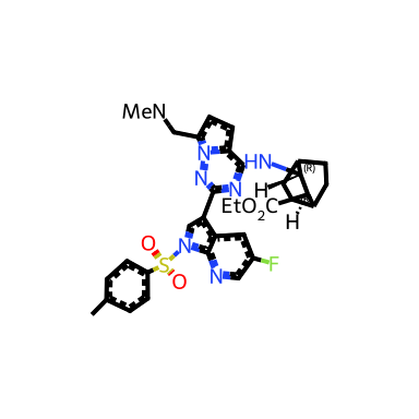 CCOC(=O)[C@@H]1C2CCC(CC2)[C@H]1Nc1nc(-c2cn(S(=O)(=O)c3ccc(C)cc3)c3ncc(F)cc23)nn2c(CNC)ccc12